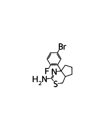 NC1=NC2(c3cc(Br)ccc3F)CCCC2CS1